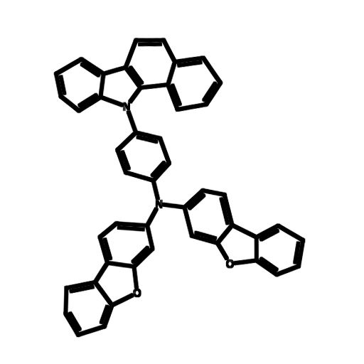 c1ccc2c(c1)ccc1c3ccccc3n(-c3ccc(N(c4ccc5c(c4)oc4ccccc45)c4ccc5c(c4)oc4ccccc45)cc3)c21